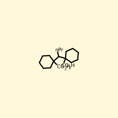 CCCC(C1(C(=O)O)CCCCC1)C1(C(=O)O)CCCCC1